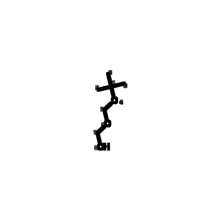 CC(C)(C)OCOCO